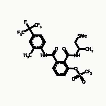 CSCC(C)NC(=O)c1c(OS(=O)(=O)C(F)(F)F)cccc1C(=O)Nc1ccc(C(F)(C(F)(F)F)C(F)(F)F)cc1C